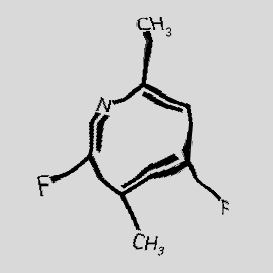 Cc1cc(F)c(C)c(F)n1